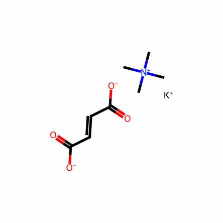 C[N+](C)(C)C.O=C([O-])C=CC(=O)[O-].[K+]